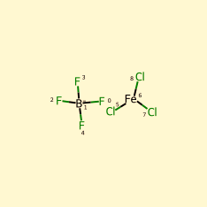 F[B-](F)(F)F.[Cl][Fe]([Cl])[Cl]